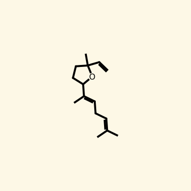 C=CC1(C)CCC(C(C)=CCC=C(C)C)O1